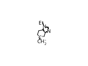 [CH2-][C+]1CCc2c(ncn2CC)C1